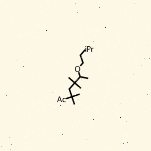 CC(=O)C(C)(C)CC(C)(C)C(C)OCCC(C)C